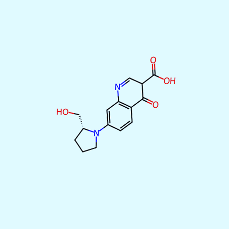 O=C(O)C1C=Nc2cc(N3CCC[C@@H]3CO)ccc2C1=O